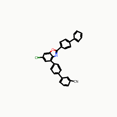 N#Cc1cccc(-c2ccc(-c3cc(Cl)cc4oc(-c5ccc(-c6ccccc6)cc5)nc34)cc2)c1